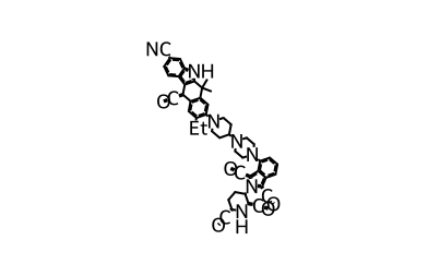 CCc1cc2c(cc1N1CCC(N3CCN(c4cccc5c(=C=O)n(C6CCC(=C=O)NC6=C=O)c(=C=O)c45)CC3)CC1)C(C)(C)c1[nH]c3cc(C#N)ccc3c1C2=C=O